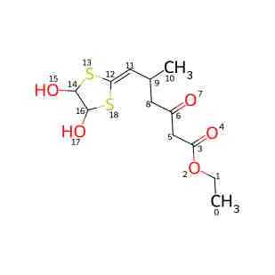 CCOC(=O)CC(=O)CC(C)C=C1SC(O)C(O)S1